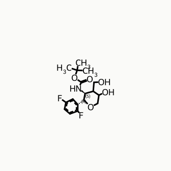 CC(C)(C)OC(=O)N[C@H]1C(CO)C(O)CO[C@@H]1c1cc(F)ccc1F